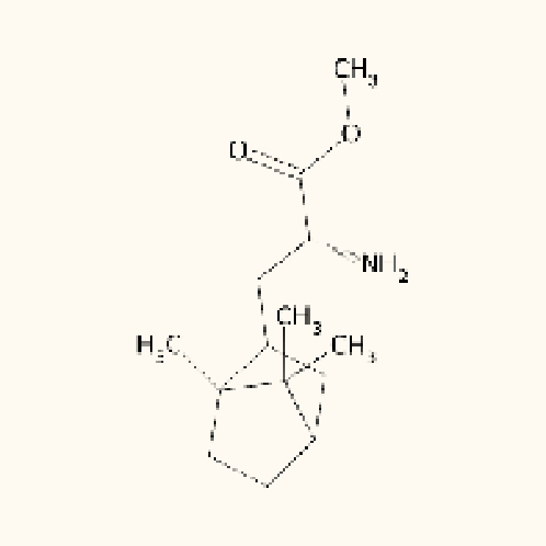 COC(=O)[C@H](N)CC1CC2CCC1(C)C2(C)C